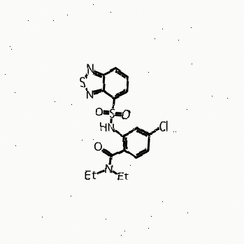 CCN(CC)C(=O)c1ccc(Cl)cc1NS(=O)(=O)c1cccc2nsnc12